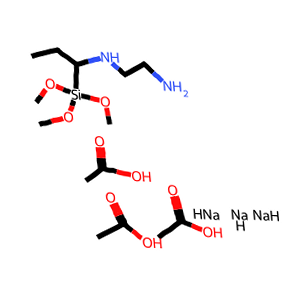 CC(=O)O.CC(=O)O.CC(=O)O.CCC(NCCN)[Si](OC)(OC)OC.[NaH].[NaH].[NaH]